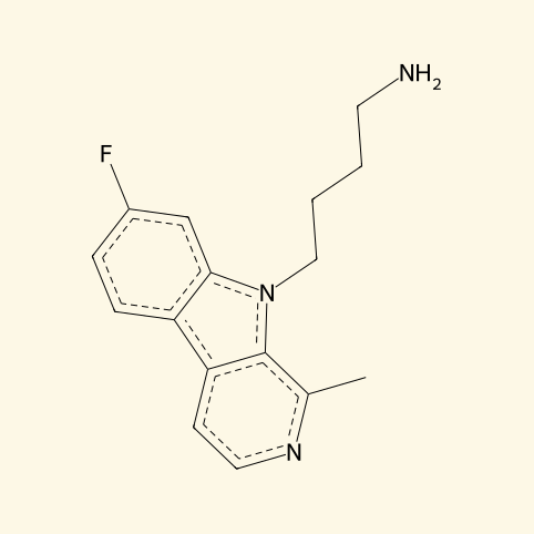 Cc1nccc2c3ccc(F)cc3n(CCCCN)c12